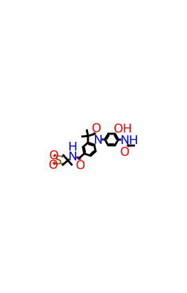 CC(=O)Nc1ccc(N2C(=O)C(C)(C)c3cc(C(=O)NC4(C)CS(=O)(=O)C4)ccc32)cc1O